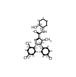 C[C@@H]1C(C(=O)N[C@@H]2CCCC[C@H]2O)=NN(c2ccc(Cl)cc2Cl)[C@@H]1c1ccc(Cl)cc1